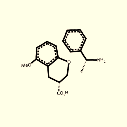 COc1cccc2c1C[C@@H](C(=O)O)CO2.C[C@@H](N)c1ccccc1